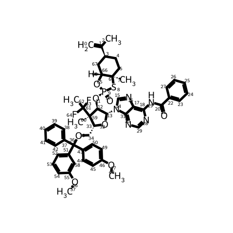 C=C(C)[C@H]1CC[C@@]2(C)S[P@@](=O)(O[C@H]3[C@H](n4cnc5c(NC(=O)c6ccccc6)ncnc54)O[C@H](COC(c4ccccc4)(c4ccc(OC)cc4)c4cccc(OC)c4)[C@@]3(C)C(C)(F)F)O[C@@H]2C1